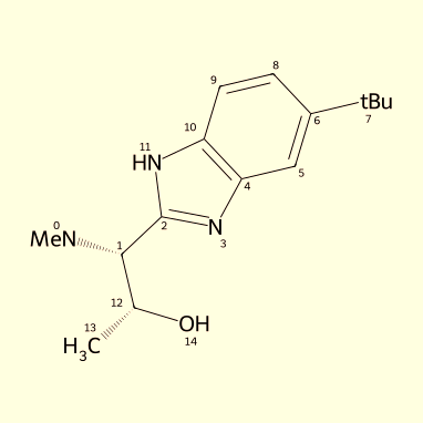 CN[C@H](c1nc2cc(C(C)(C)C)ccc2[nH]1)[C@@H](C)O